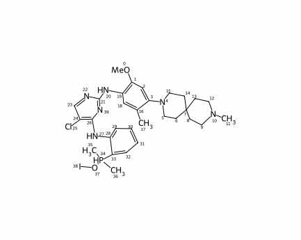 COc1cc(N2CCC3(CCN(C)CC3)CC2)c(C)cc1Nc1ncc(Cl)c(Nc2ccccc2[PH](C)(C)OI)n1